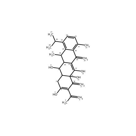 C=C(C)C1=C(O)CC2C(O)C3C(=C(O)C2(O)C1=C)C(=C)c1c(C)ccc(C(C)C)c1C3C